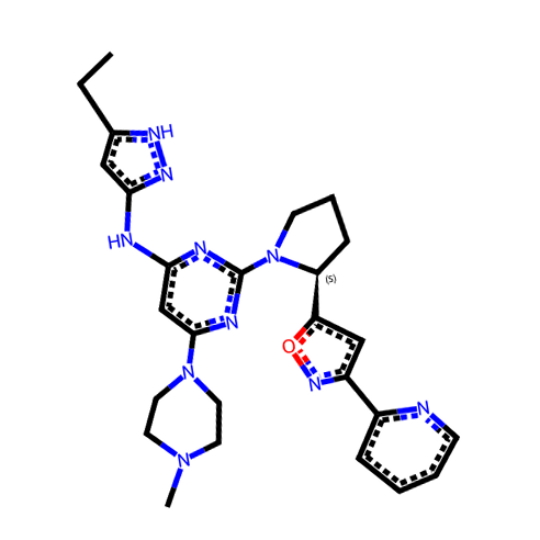 CCc1cc(Nc2cc(N3CCN(C)CC3)nc(N3CCC[C@H]3c3cc(-c4ccccn4)no3)n2)n[nH]1